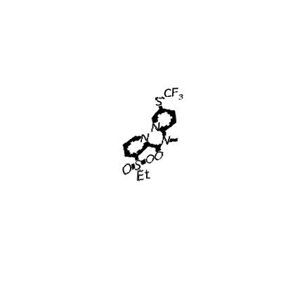 CCS(=O)(=O)c1cccnc1C(=O)N(C)c1ccc(SC(F)(F)F)cn1